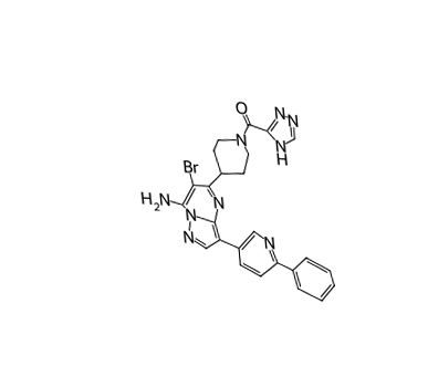 Nc1c(Br)c(C2CCN(C(=O)c3nnc[nH]3)CC2)nc2c(-c3ccc(-c4ccccc4)nc3)cnn12